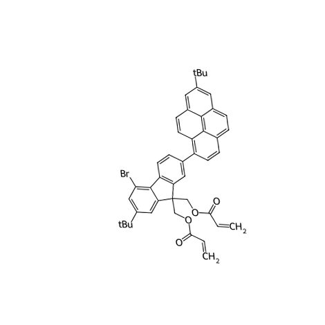 C=CC(=O)OCC1(COC(=O)C=C)c2cc(-c3ccc4ccc5cc(C(C)(C)C)cc6ccc3c4c56)ccc2-c2c(Br)cc(C(C)(C)C)cc21